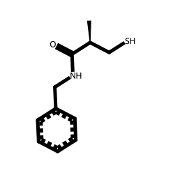 C[C@@H](CS)C(=O)NCc1ccccc1